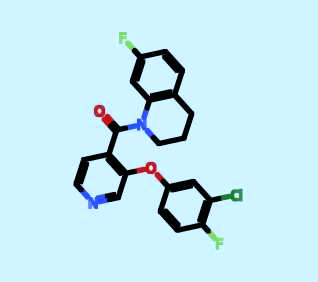 O=C(c1ccncc1Oc1ccc(F)c(Cl)c1)N1CCCc2ccc(F)cc21